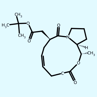 C[C@@H]1OC(=O)CC/C=C\C[C@@H](CC(=O)OC(C)(C)C)C(=O)N2CCC[C@@H]12